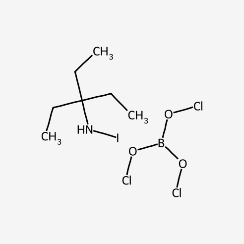 CCC(CC)(CC)NI.ClOB(OCl)OCl